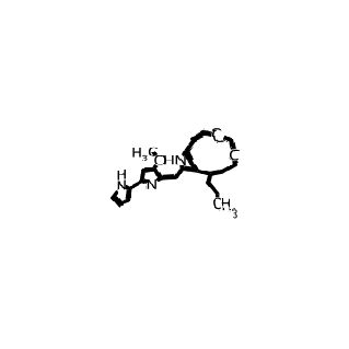 CCCC1CCCCCCCc2cc1c(C=C1N=C(c3ccc[nH]3)C=C1OC)[nH]2